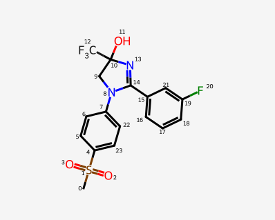 CS(=O)(=O)c1ccc(N2CC(O)(C(F)(F)F)N=C2c2cccc(F)c2)cc1